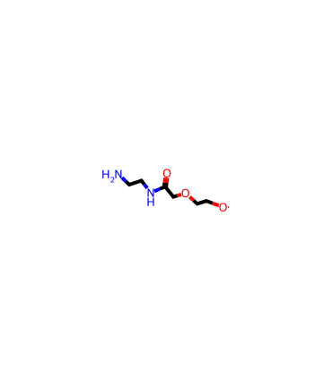 NCCNC(=O)COCC[O]